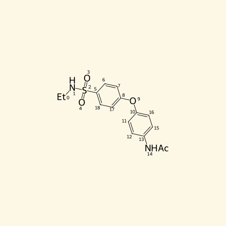 CCNS(=O)(=O)c1ccc(Oc2ccc(NC(C)=O)cc2)cc1